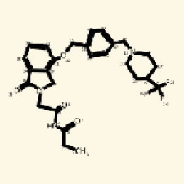 CCC(=O)NC(=O)CN1Cc2c(OCc3ccc(CN4CCC(C(F)(F)F)CC4)cc3)cccc2C1=O